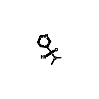 CN(C)S(=N)(=O)c1cccnc1